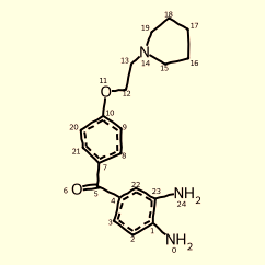 Nc1ccc(C(=O)c2ccc(OCCN3CCCCC3)cc2)cc1N